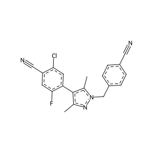 Cc1nn(Cc2ccc(C#N)cc2)c(C)c1-c1cc(Cl)c(C#N)cc1F